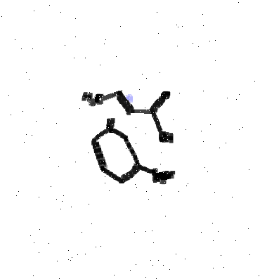 Br.C/C=C/C(=O)O.CC1=CC=CNC1